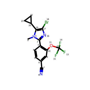 Cn1c(-c2ccc(C#N)cc2OC(F)(F)F)nc(Br)c1C1CC1